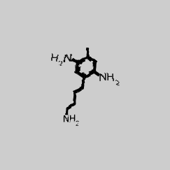 Cc1cc(N)c(CCCCN)cc1N